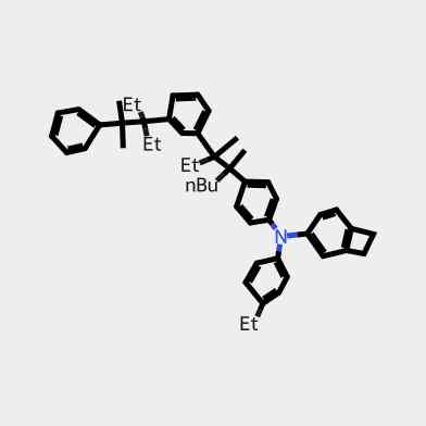 CCCCC(C)(c1ccc(N(c2ccc(CC)cc2)c2ccc3c(c2)CC3)cc1)C(C)(CC)c1cccc(C(CC)(CC)C(C)(C)c2ccccc2)c1